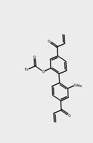 C=CC(=O)c1ccc(-c2ccc(C(=O)C=C)cc2OC(=O)CC)c(OC)c1